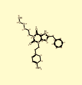 NC1=CC=C(CCn2c(=O)n(CCSOOO)c(=O)c3[nH]c(Cc4ccccc4)nc32)CC1